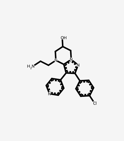 NCCN1CC(O)Cn2nc(-c3ccc(Cl)cc3)c(-c3ccncc3)c21